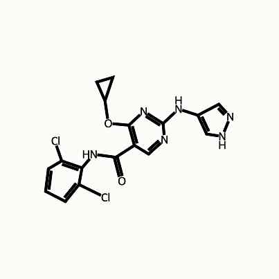 O=C(Nc1c(Cl)cccc1Cl)c1cnc(Nc2cn[nH]c2)nc1OC1CC1